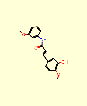 COc1cccc(NC(=O)/C=C/c2ccc(OC)c(O)c2)c1